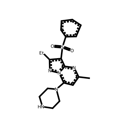 CCc1nn2c(N3CCNCC3)cc(C)nc2c1S(=O)(=O)c1ccccc1